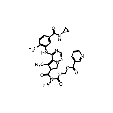 CCCN(C(=O)OCOC(=O)c1cccnc1)C(=O)C1CN2N=CN=C(Nc3cc(C(=O)NC4CC4)ccc3C)C2=C1C